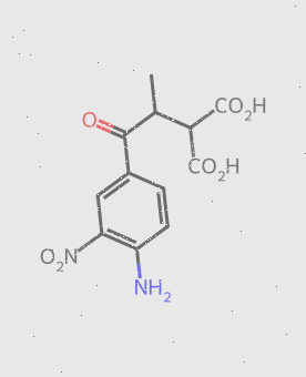 CC(C(=O)c1ccc(N)c([N+](=O)[O-])c1)C(C(=O)O)C(=O)O